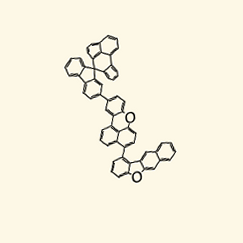 c1ccc2c(c1)-c1ccc(-c3ccc4c(c3)-c3cccc5c(-c6cccc7oc8cc9ccccc9cc8c67)ccc(c35)O4)cc1C21c2ccccc2-c2cccc3cccc1c23